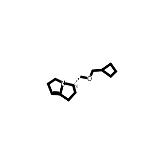 C1=C2CC[C@@H](COCC3CCC3)N2CC1